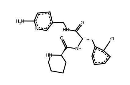 Nc1ccc(CNC(=O)[C@H](Cc2ccccc2Cl)NC(=O)[C@H]2CCCCN2)cn1